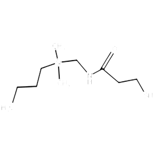 CCCC[Si](C)(C)CNC(=O)CCS